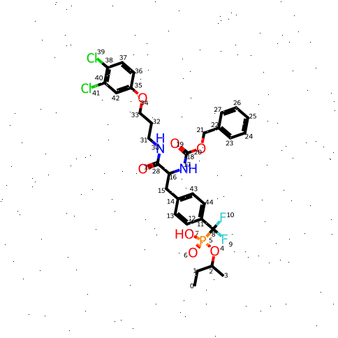 CCC(C)OP(=O)(O)C(F)(F)c1ccc(CC(NC(=O)OCc2ccccc2)C(=O)NCCCOc2ccc(Cl)c(Cl)c2)cc1